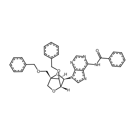 O=C(Nc1ncnc2c1ncn2[C@@H]1O[C@@]2(COCc3ccccc3)CO[C@@H]1[C@@H]2OCc1ccccc1)c1ccccc1